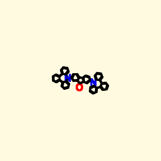 O=C1c2cc(N3c4ccccc4-c4ccccc4-c4ccccc43)ccc2-c2ccc(N3c4ccccc4-c4ccccc4-c4ccccc43)cc21